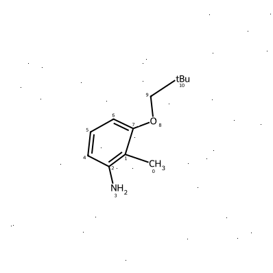 Cc1c(N)cccc1OCC(C)(C)C